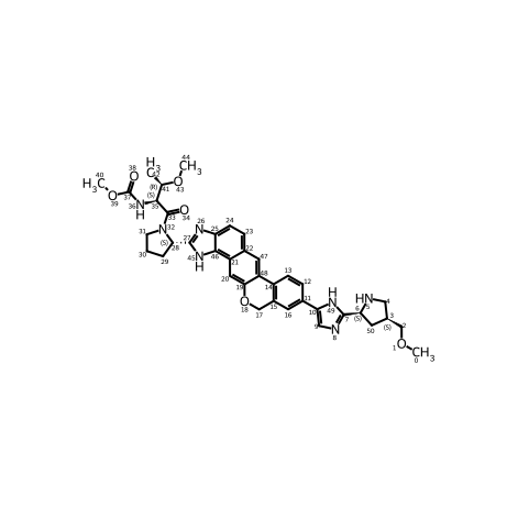 COC[C@@H]1CN[C@H](c2ncc(-c3ccc4c(c3)COc3cc5c(ccc6nc([C@@H]7CCCN7C(=O)[C@@H](NC(=O)OC)[C@@H](C)OC)[nH]c65)cc3-4)[nH]2)C1